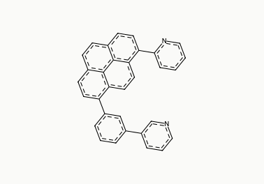 c1ccc(-c2ccc3ccc4ccc(-c5cccc(-c6cccnc6)c5)c5ccc2c3c45)nc1